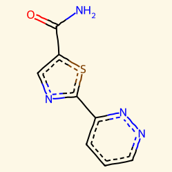 NC(=O)c1cnc(-c2cccnn2)s1